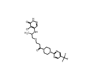 CC(COCCC(=O)N1CCN(c2ncc(C(F)(F)F)cn2)CC1)Nc1cn[nH]c(=O)c1Cl